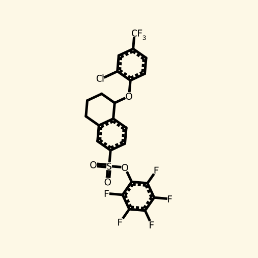 O=S(=O)(Oc1c(F)c(F)c(F)c(F)c1F)c1ccc2c(c1)CCCC2Oc1ccc(C(F)(F)F)cc1Cl